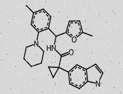 Cc1ccc(C(NC(=O)C2(c3ccc4c(c3)C=C[N]4)CC2)c2ccc(C)o2)c(N2CCCCC2)c1